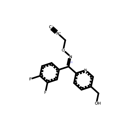 [C-]#[N+]CO/N=C(\c1ccc(F)c(F)c1)c1ccc(CO)cn1